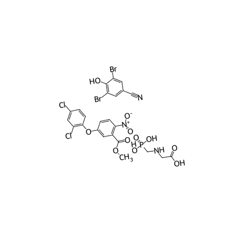 COC(=O)c1cc(Oc2ccc(Cl)cc2Cl)ccc1[N+](=O)[O-].N#Cc1cc(Br)c(O)c(Br)c1.O=C(O)CNCP(=O)(O)O